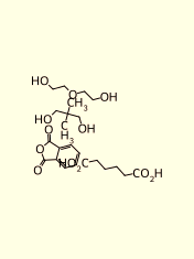 CC(C)(CO)CO.O=C(O)CCCCC(=O)O.O=C1OC(=O)c2ccccc21.OCCOCCO